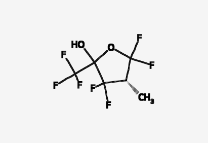 C[C@H]1C(F)(F)OC(O)(C(F)(F)F)C1(F)F